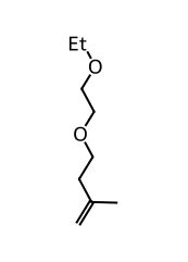 [CH2]COCCOCCC(=C)C